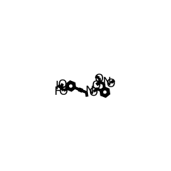 CO/N=C(/C(=O)OC)c1ccccc1CO/N=C(\C)C#Cc1ccc2c(c1)OC(F)(I)O2